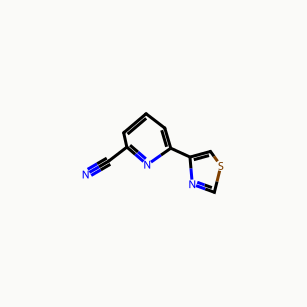 N#Cc1cccc(-c2cscn2)n1